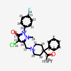 CCCC(=O)C1(c2ccccc2)CCN(Cc2c(Cl)c(=O)n(-c3ccc(F)cc3)n2C)CC1